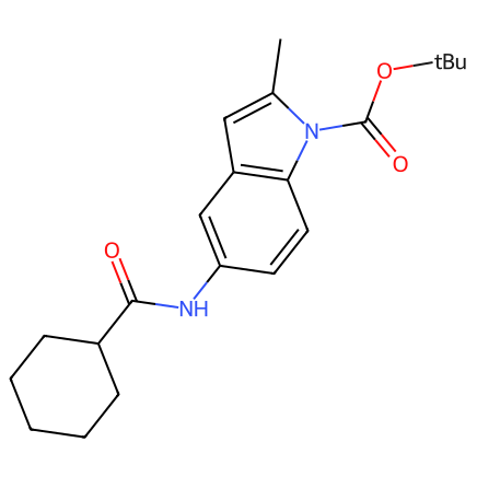 Cc1cc2cc(NC(=O)C3CCCCC3)ccc2n1C(=O)OC(C)(C)C